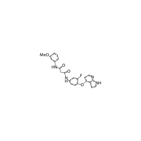 COc1cccc(NC(=O)CC(=O)Nc2ccc(Oc3ccnc4[nH]ccc34)c(F)c2)c1